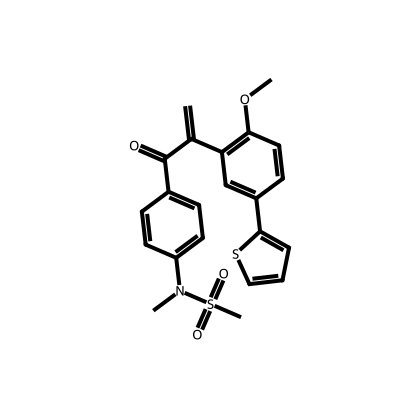 C=C(C(=O)c1ccc(N(C)S(C)(=O)=O)cc1)c1cc(-c2cccs2)ccc1OC